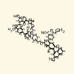 C=CC(=O)N1CCN(c2nc(OCCN3CCC(OCCOc4cc([C@@H](C(=O)N5C[C@H](O)C[C@H]5C(=O)N[C@@H](C)c5ccc(-c6scnc6C)cc5)C(C)C)on4)CC3)nc3c(F)c(-c4cc(O)cc5ccccc45)c(Cl)cc23)C[C@@H]1CC#N